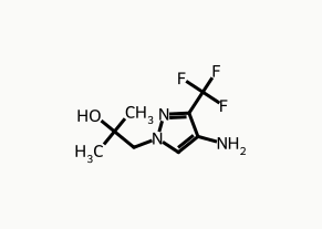 CC(C)(O)Cn1cc(N)c(C(F)(F)F)n1